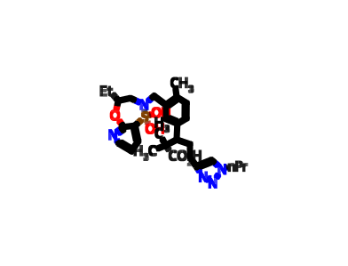 CCCn1cc(CCC(c2ccc(C)c(CN3CC(CC)Oc4ncccc4S3(O)O)c2)C(C)(C)C(=O)O)nn1